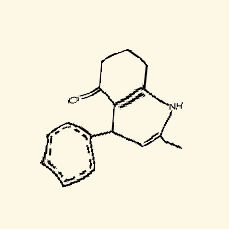 CC1=CC(c2ccccc2)C2=C(CCCC2=O)N1